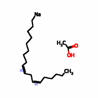 CC(=O)O.CCCCC/C=C\C/C=C\CCCCCCC[CH2][Na]